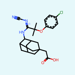 CC(C)(Oc1ccc(Cl)cc1)/C(=N/C#N)NC1C2CC3CC1CC(CC(=O)O)(C3)C2